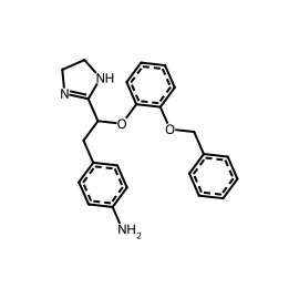 Nc1ccc(CC(Oc2ccccc2OCc2ccccc2)C2=NCCN2)cc1